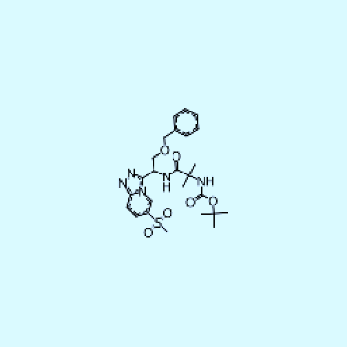 CC(C)(C)OC(=O)NC(C)(C)C(=O)N[C@H](COCc1ccccc1)c1nnc2ccc(S(C)(=O)=O)cn12